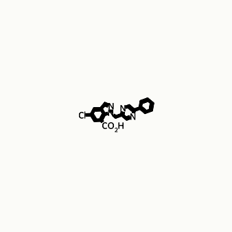 O=C(O)c1cc(Cl)cc2cnn(Cc3cnc(-c4ccccc4)cn3)c12